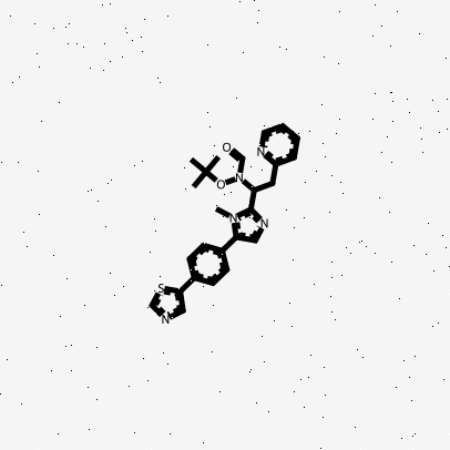 Cn1c(-c2ccc(-c3cncs3)cc2)cnc1C(Cc1ccccn1)N(C=O)OC(C)(C)C